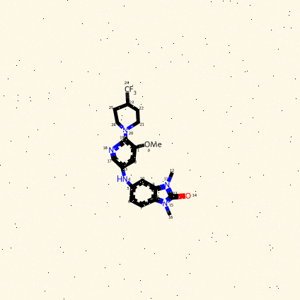 COc1cc(Nc2ccc3c(c2)n(C)c(=O)n3C)cnc1N1CCC(C(F)(F)F)CC1